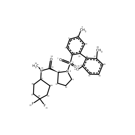 Cc1ccc(S(=O)(=O)N2CCC[C@H]2C(=O)N(C)C2CCC(F)(F)CC2)c(-c2c(C)cccc2Cl)c1